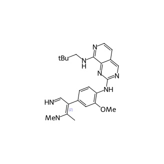 CN/C(C)=C(\C=N)c1ccc(Nc2ncc3ccnc(NCC(C)(C)C)c3n2)c(OC)c1